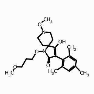 COCCCON1C(=O)C(c2c(C)cc(C)cc2C)=C(O)C12CCN(OC)CC2